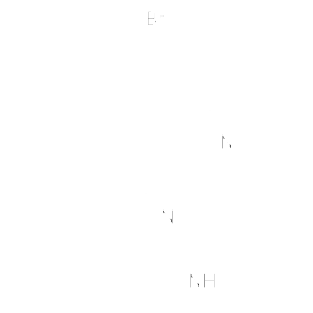 CCCC(c1cnc2ccc(Br)cc2c1)N1C[C@@H](C)N[C@@H](C)C1